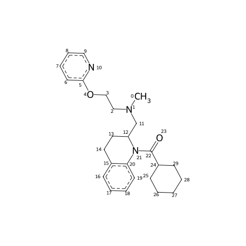 CN(CCOc1ccccn1)CC1CCc2ccccc2N1C(=O)C1CCCCC1